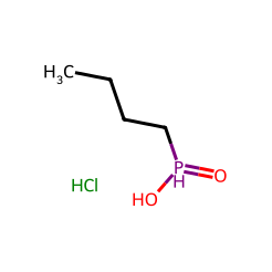 CCCC[PH](=O)O.Cl